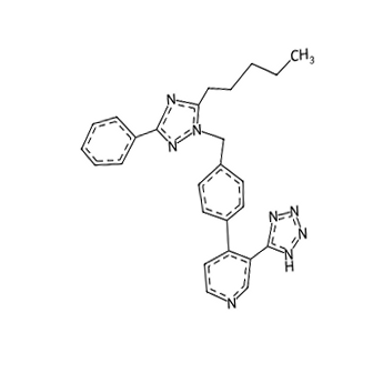 CCCCCc1nc(-c2ccccc2)nn1Cc1ccc(-c2ccncc2-c2nnn[nH]2)cc1